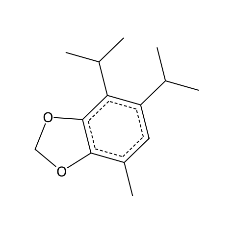 Cc1cc(C(C)C)c(C(C)C)c2c1OCO2